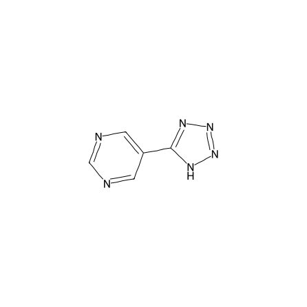 c1ncc(-c2nnn[nH]2)cn1